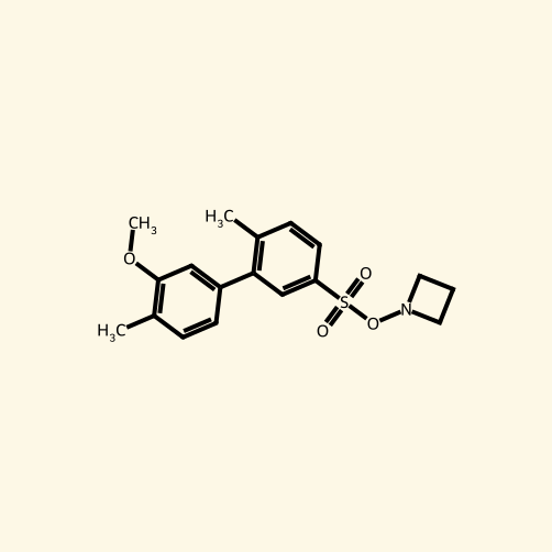 COc1cc(-c2cc(S(=O)(=O)ON3CCC3)ccc2C)ccc1C